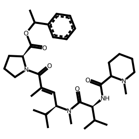 C/C(=C\[C@H](C(C)C)N(C)C(=O)[C@@H](NC(=O)C1CCCCN1C)C(C)C)C(=O)N1CCC[C@H]1C(=O)OC(C)c1ccccc1